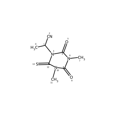 CC(C#N)n1c(=O)n(C)c(=O)n(C)c1=S